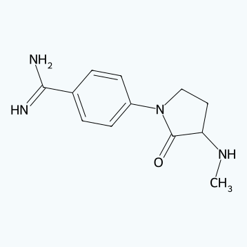 CNC1CCN(c2ccc(C(=N)N)cc2)C1=O